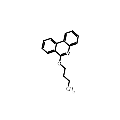 CCCCOc1nc2ccccc2c2ccccc12